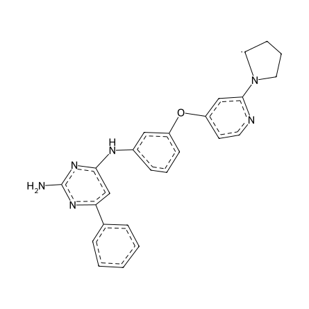 Nc1nc(Nc2cccc(Oc3ccnc(N4[CH]CCC4)c3)c2)cc(-c2ccccc2)n1